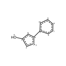 Oc1csc(-c2ccccc2)c1